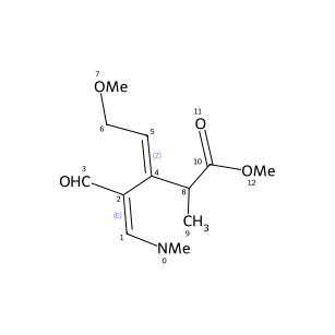 CN/C=C(C=O)\C(=C/COC)C(C)C(=O)OC